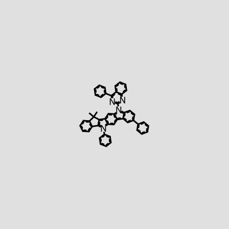 CC1(C)c2ccccc2-c2c1c1cc3c(cc1n2-c1ccccc1)c1cc(-c2ccccc2)ccc1n3-c1nc(-c2ccccc2)c2ccccc2n1